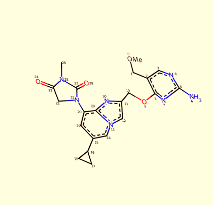 COCc1cnc(N)nc1OCc1cn2cc(C3CC3)cc(N3CC(=O)N(C)C3=O)c2n1